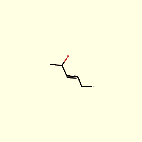 [CH2]CC=CC(C)Br